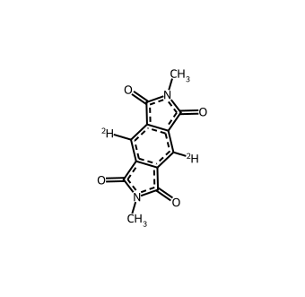 [2H]c1c2c(=O)n(C)c(=O)c2c([2H])c2c(=O)n(C)c(=O)c12